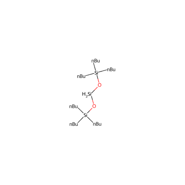 CCCC[Si](CCCC)(CCCC)O[SiH2]O[Si](CCCC)(CCCC)CCCC